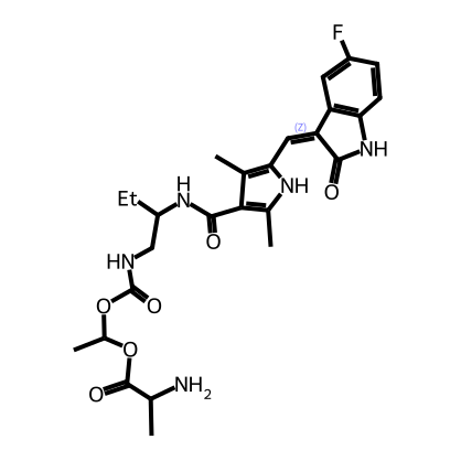 CCC(CNC(=O)OC(C)OC(=O)C(C)N)NC(=O)c1c(C)[nH]c(/C=C2\C(=O)Nc3ccc(F)cc32)c1C